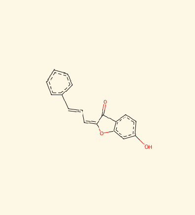 O=C1C(=CC=Cc2ccccc2)Oc2cc(O)ccc21